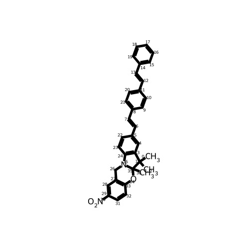 CC1(C)c2cc(/C=C/c3ccc(/C=C/c4ccccc4)cc3)ccc2N2Cc3cc([N+](=O)[O-])ccc3OC21C